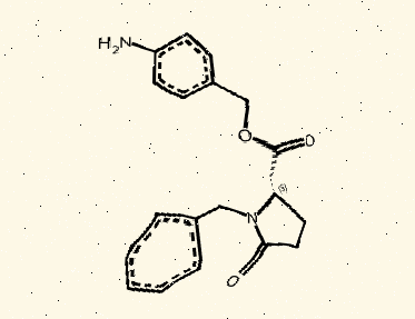 Nc1ccc(COC(=O)[C@@H]2CCC(=O)N2Cc2ccccc2)cc1